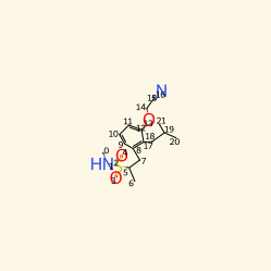 CNS(=O)(=O)C(C)Cc1cccc(OCC#N)c1CC(C)C